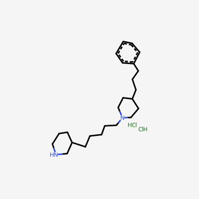 Cl.Cl.c1ccc(CCCC2CCN(CCCCCC3CCCNC3)CC2)cc1